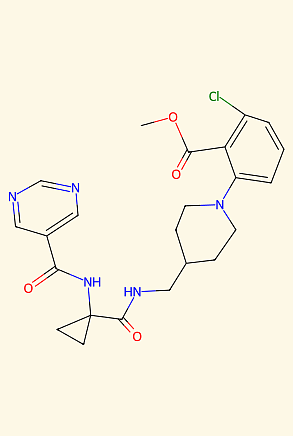 COC(=O)c1c(Cl)cccc1N1CCC(CNC(=O)C2(NC(=O)c3cncnc3)CC2)CC1